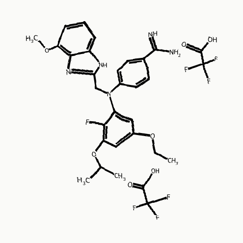 CCOc1cc(OC(C)C)c(F)c(N(Cc2nc3c(OC)cccc3[nH]2)c2ccc(C(=N)N)cc2)c1.O=C(O)C(F)(F)F.O=C(O)C(F)(F)F